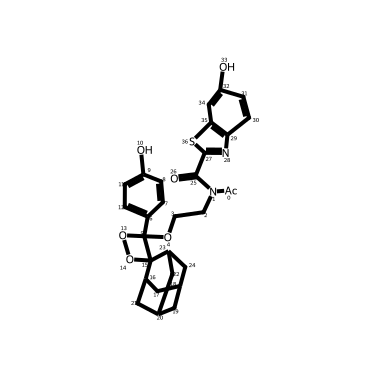 CC(=O)N(CCOC1(c2ccc(O)cc2)OOC12C1CC3CC(C1)CC2C3)C(=O)c1nc2ccc(O)cc2s1